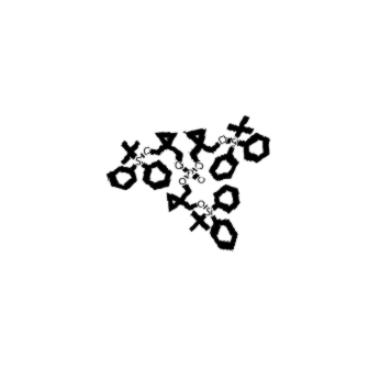 CC(C)(C)[Si](OCC1(COP(=O)(OCC2(CO[Si](c3ccccc3)(c3ccccc3)C(C)(C)C)CC2)OCC2(CO[Si](c3ccccc3)(c3ccccc3)C(C)(C)C)CC2)CC1)(c1ccccc1)c1ccccc1